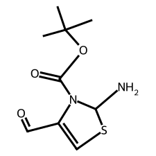 CC(C)(C)OC(=O)N1C(C=O)=CSC1N